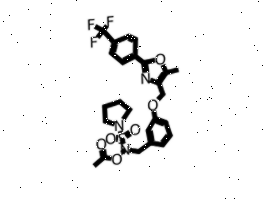 CC(=O)ON(Cc1cccc(OCc2nc(-c3ccc(C(F)(F)F)cc3)oc2C)c1)S(=O)(=O)N1CCCC1